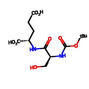 CC(C)(C)OC(=O)N[C@@H](CO)C(=O)N[C@@H](CCC(=O)O)C(=O)O